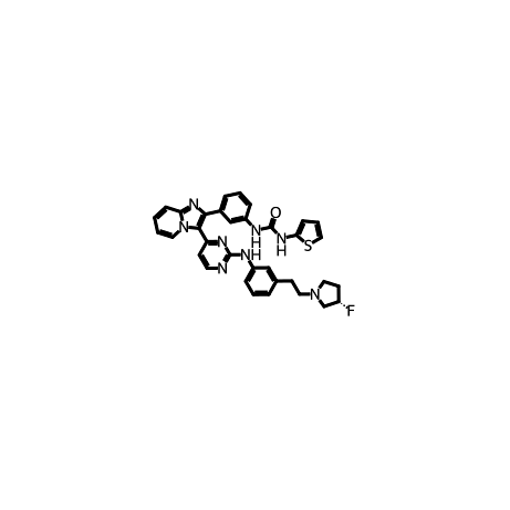 O=C(Nc1cccc(-c2nc3ccccn3c2-c2ccnc(Nc3cccc(CCN4CC[C@H](F)C4)c3)n2)c1)Nc1cccs1